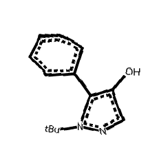 CC(C)(C)n1ncc(O)c1-c1ccccc1